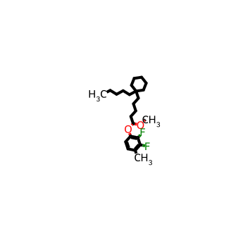 CCCCCC1(CCCCC(OC)Oc2ccc(C)c(F)c2F)CCCCC1